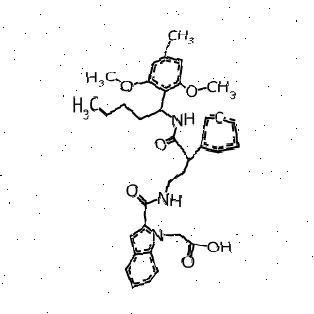 CCCCC(NC(=O)C(CCNC(=O)c1cc2ccccc2n1CC(=O)O)c1ccccc1)c1c(OC)cc(C)cc1OC